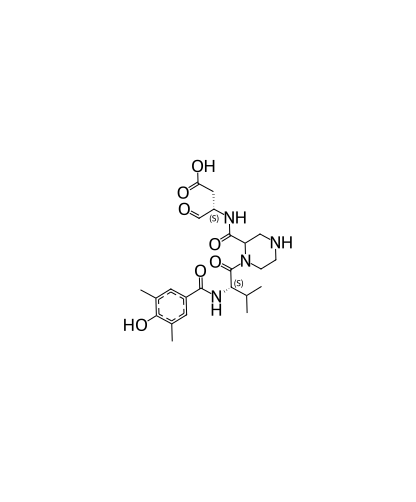 Cc1cc(C(=O)N[C@H](C(=O)N2CCNCC2C(=O)N[C@H](C=O)CC(=O)O)C(C)C)cc(C)c1O